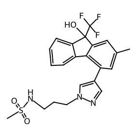 Cc1cc(-c2cnn(CCCNS(C)(=O)=O)c2)c2c(c1)C(O)(C(F)(F)F)c1ccccc1-2